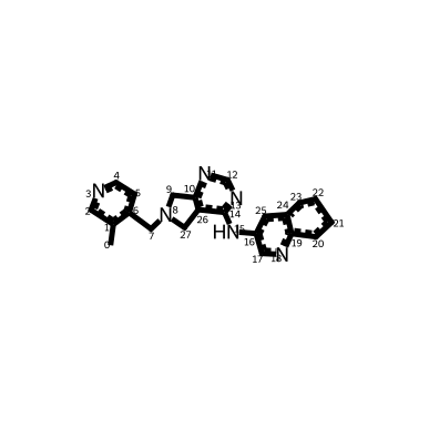 Cc1cnccc1CN1Cc2ncnc(Nc3cnc4ccccc4c3)c2C1